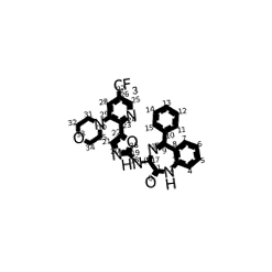 O=C1Nc2ccccc2C(c2ccccc2)=N[C@@H]1Nc1ncc(-c2ncc(C(F)(F)F)cc2N2CCOCC2)o1